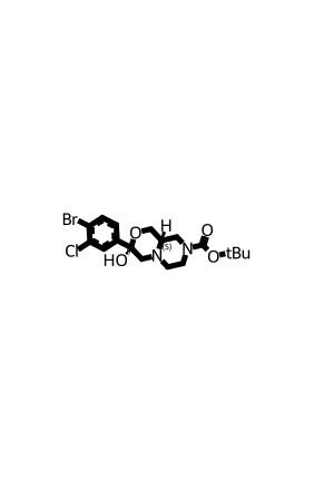 CC(C)(C)OC(=O)N1CCN2C[C@@](O)(c3ccc(Br)c(Cl)c3)OC[C@@H]2C1